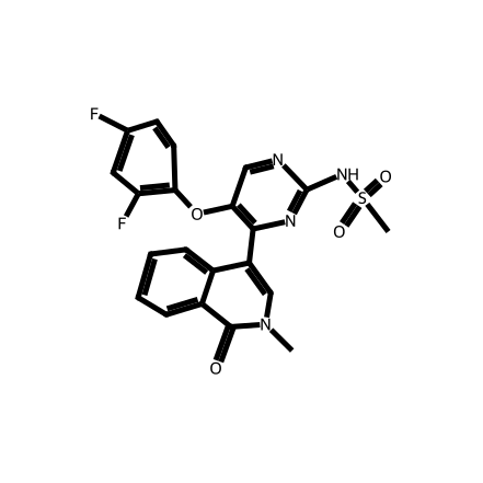 Cn1cc(-c2nc(NS(C)(=O)=O)ncc2Oc2ccc(F)cc2F)c2ccccc2c1=O